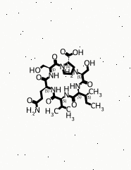 CC[C@H](C)[C@H](NC(=O)[C@@H](N)CO)C(=O)N[C@H](C(=O)N[C@@H](CCC(N)=O)C(=O)N[C@@H](CO)C(=O)N1CCC[C@H]1C(=O)O)C(C)C